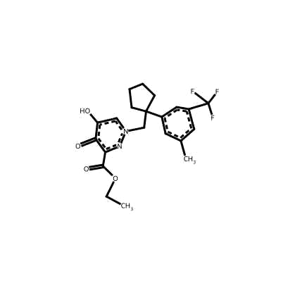 CCOC(=O)c1nn(CC2(c3cc(C)cc(C(F)(F)F)c3)CCCC2)cc(O)c1=O